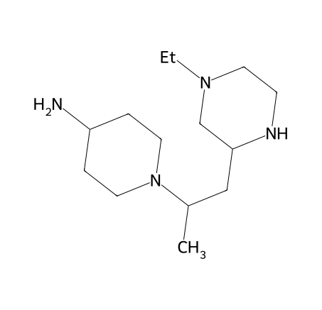 CCN1CCNC(CC(C)N2CCC(N)CC2)C1